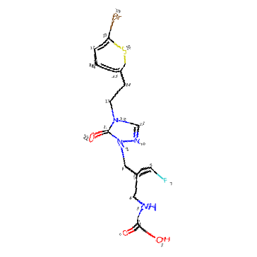 O=C(O)NCC(=CF)Cn1ncn(CCc2ccc(Br)s2)c1=O